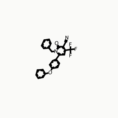 N#Cc1c(C(F)(F)F)cc(-c2ccc(Oc3ccccc3)cc2)n(Cc2ccccc2)c1=O